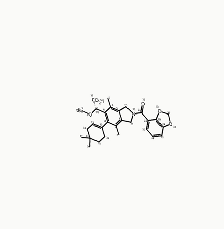 Cc1c2c(c(C)c([C@H](OC(C)(C)C)C(=O)O)c1C1=CCC(C)(C)CC1)CN(C(=O)c1cccc3c1OCO3)C2